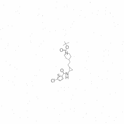 CC(C)(C)OC(=O)N1CCC(CCC2CC2NC(=O)c2ccc(Cl)s2)CC1